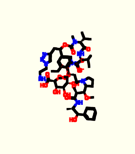 CC[C@@H](C)[C@H]([C@H](CC(=O)N1CCCC1[C@@H](OC)[C@H](C)C(=O)N[C@@H](C)[C@H](O)c1ccccc1)OC)N(C)C(=O)[C@H](NC(=O)[C@@H](C(C)C)N(C)C(=O)OC(Cc1cn(CCN)nn1)c1ccc(O[C@@H]2O[C@H](C(=O)O)[C@@H](O)[C@H](O)[C@H]2O)c([N+](=O)[O-])c1)C(C)C